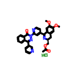 COc1cc2c(cc1OC)C(c1ccnc(-n3nc(-c4cccnc4)c4ccccc4c3=O)c1)=N[C@H](COC(C)=O)C2.Cl